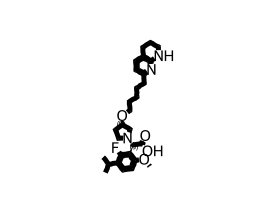 COc1ccc(C(C)C)c(F)c1[C@@H](C(=O)O)N1CC[C@@H](OCCCCCc2ccc3c(n2)NCCC3)C1